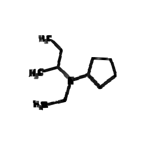 CCC(C)N(C[SiH3])C1CCCC1